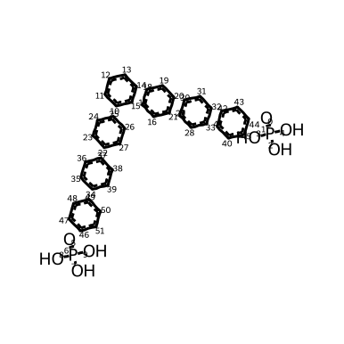 O=P(O)(O)O.O=P(O)(O)O.c1ccccc1.c1ccccc1.c1ccccc1.c1ccccc1.c1ccccc1.c1ccccc1.c1ccccc1